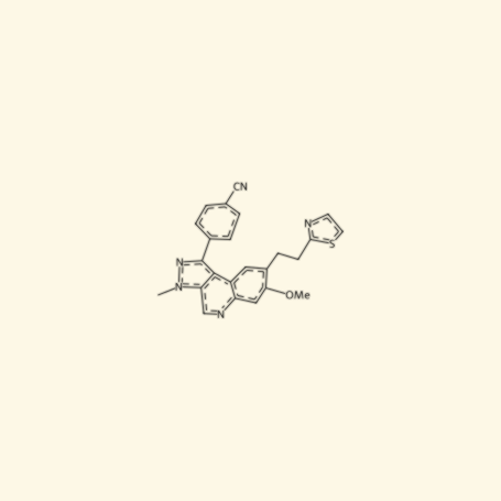 COc1cc2ncc3c(c(-c4ccc(C#N)cc4)nn3C)c2cc1CCc1nccs1